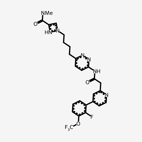 CNC(=O)c1cn(CCCCc2ccc(NC(=O)Cc3cc(-c4cccc(OC(F)(F)F)c4F)ccn3)nn2)[nH]1